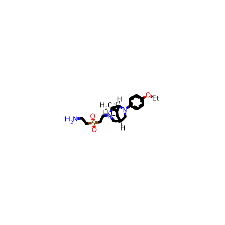 CCOc1ccc(N2C[C@H]3CN(CCS(=O)(=O)CCN)C[C@@H]2C(C)(C)C3)cc1